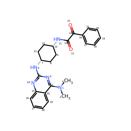 CN(C)c1nc(N[C@H]2CC[C@@H](NC(=O)C(=O)c3ccccc3)CC2)nc2ccccc12